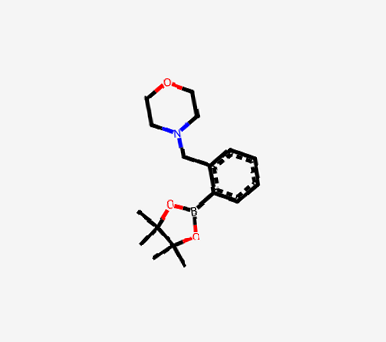 CC1(C)OB(c2ccccc2CN2CCOCC2)OC1(C)C